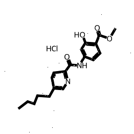 CCCCCc1ccc(C(=O)Nc2ccc(C(=O)OC)c(O)c2)nc1.Cl